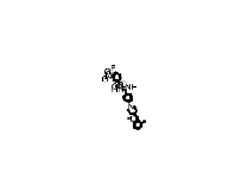 COC1(Cc2ccccc2C)CCN(c2ccc(C(=N)NS(=O)(=O)c3ccc(F)c([N+](=O)[O-])c3)cc2)CC1